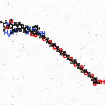 CCCN(OCC)C(=O)C1=Cc2ccc(-c3cnc(C(=O)N4CCC[C@H]4C(=O)NCCOCCOCCOCCOCCOCCOCCOCCOCCOCCOCCC(=O)O)nc3)cc2N=C(N)C1